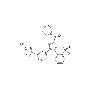 Cc1noc(-c2cccc(-n3nc(C(=O)N4CCOCC4)c4c3-c3ccccc3S(=O)(=O)C4)c2)n1